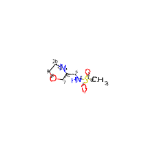 CS(=O)(=O)NCC1COCC[N]1